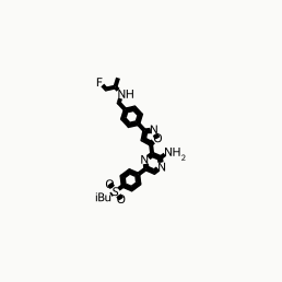 CCC(C)S(=O)(=O)c1ccc(-c2cnc(N)c(-c3cc(-c4ccc(CNC(C)CF)cc4)no3)n2)cc1